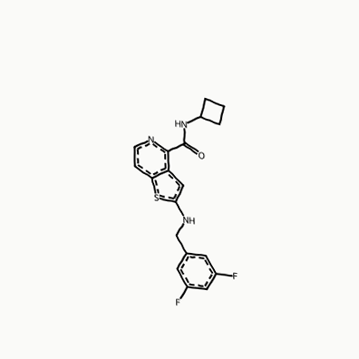 O=C(NC1CCC1)c1nccc2sc(NCc3cc(F)cc(F)c3)cc12